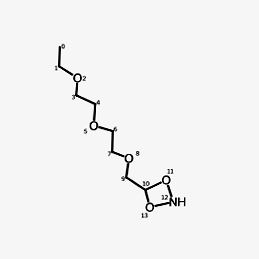 CCOCCOCCOCC1ONO1